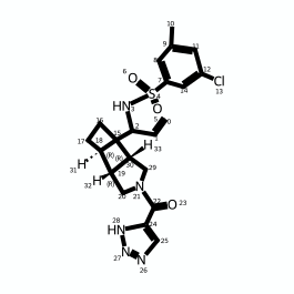 C=CC(NS(=O)(=O)c1cc(C)cc(Cl)c1)C12CC[C@@H]1[C@H]1CN(C(=O)c3cnn[nH]3)C[C@H]12